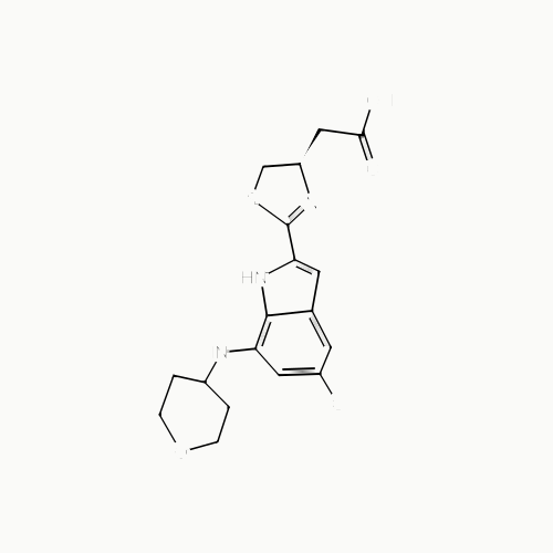 O=C(O)C[C@@H]1CSC(c2cc3cc(Cl)cc(NC4CCOCC4)c3[nH]2)=N1